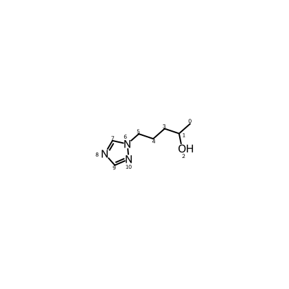 CC(O)CCCn1cncn1